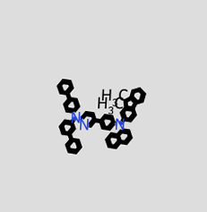 CC1(C)C2=C(C=CCC2)c2ccc(N(c3ccc(-c4ccc(N(c5ccc(-c6ccccc6)cc5)c5cccc(-c6ccccc6)c5)nc4)cc3)c3cccc4ccccc34)cc21